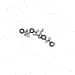 CCCn1c(NC(=O)c2cccc(NS(=O)(=O)c3ccccc3)c2)nc2cc(N(C)C(=O)c3cccnc3)ccc21